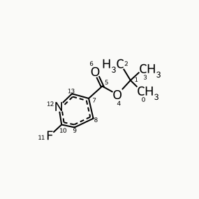 CC(C)(C)OC(=O)c1ccc(F)nc1